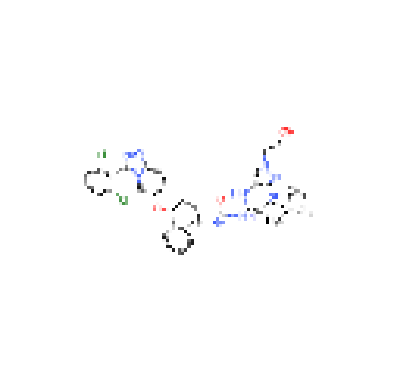 CC(C)(C)C(=N)/C=C(/NC(=O)N[C@H]1CCC(Oc2ccc3nnc(-c4c(Cl)cccc4Cl)n3c2)c2ccccc21)Nc1cnn(CCO)c1